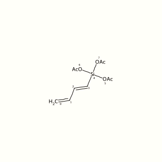 C=CC=C[Si](OC(C)=O)(OC(C)=O)OC(C)=O